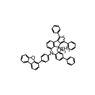 CC1(C)c2c(cccc2N(c2ccc(-c3ccccc3)cc2)c2ccc(-c3cccc4c3oc3ccccc34)cc2)-c2c(-c3ccccc3)sc(-c3ccccc3)c21